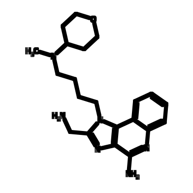 CN(CCCCn1c(CN)nc2c(N)nc3ccccc3c21)C1CCOCC1